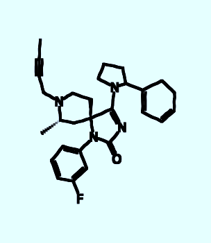 CC#CCN1CC[C@@]2(C[C@@H]1C)C(N1CCCC1C1=CC=CCC1)=NC(=O)N2c1cccc(F)c1